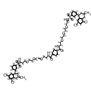 CN1Cc2c(Cl)cc(Cl)cc2C(c2cccc(S(=O)(=O)NCCOCCOCCOCCNC(=O)c3ccc(C(=O)NCCOCCOCCOCCNS(=O)(=O)c4cccc(C5CN(C)Cc6c(Cl)cc(Cl)cc65)c4)cc3)c2)C1